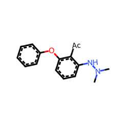 CC(=O)c1c(NN(C)C)cccc1Oc1ccccc1